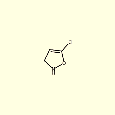 ClC1=C[CH]NO1